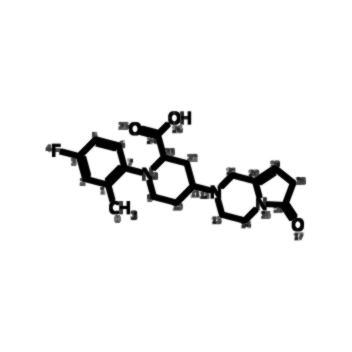 Cc1cc(F)ccc1N1CCC(N2CCN3C(=O)CC=C3C2)CC1C(=O)O